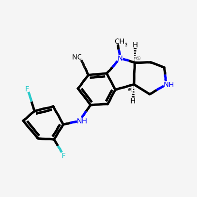 CN1c2c(C#N)cc(Nc3cc(F)ccc3F)cc2[C@@H]2CNCC[C@@H]21